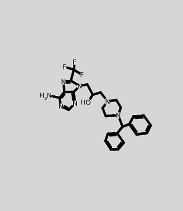 Nc1ncnc2c1nc(C(F)(F)F)n2CC(O)CN1CCN(C(c2ccccc2)c2ccccc2)CC1